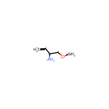 C=CC(N)CO[SiH3]